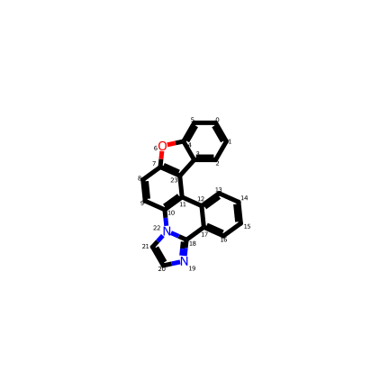 c1ccc2c(c1)oc1ccc3c(c4ccccc4c4nccn34)c12